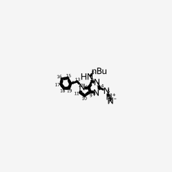 CCCCNc1nc(N=[N+]=[N-])nc2ccn(Cc3ccccc3)c12